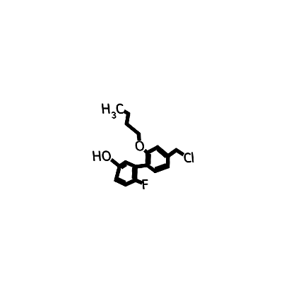 CCCCOc1cc(CCl)ccc1-c1cc(O)ccc1F